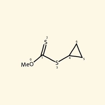 COC(=S)SC1CC1